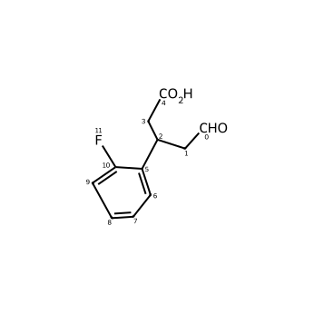 O=CCC(CC(=O)O)c1ccccc1F